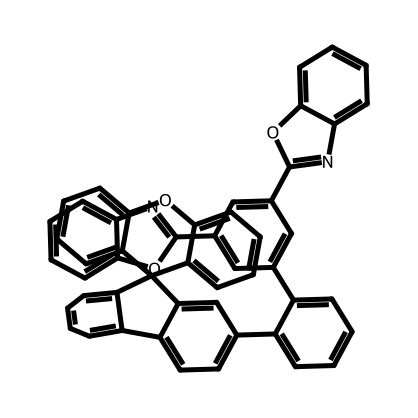 c1ccc2c(c1)Oc1ccccc1C21c2ccccc2-c2ccc(-c3ccccc3-c3cc(-c4nc5ccccc5o4)cc(-c4nc5ccccc5o4)c3)cc21